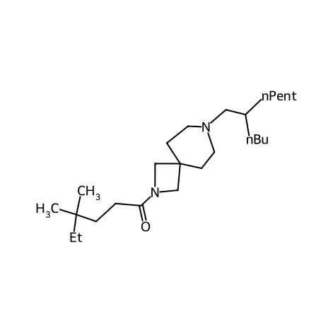 CCCCCC(CCCC)CN1CCC2(CC1)CN(C(=O)CCC(C)(C)CC)C2